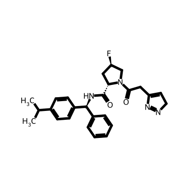 CC(C)c1ccc([C@@H](NC(=O)[C@@H]2C[C@@H](F)CN2C(=O)CC2=CCN=N2)c2ccccc2)cc1